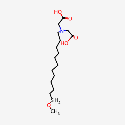 CO[SiH2]CCCCCCCCCCCN(CC(=O)O)CC(=O)O